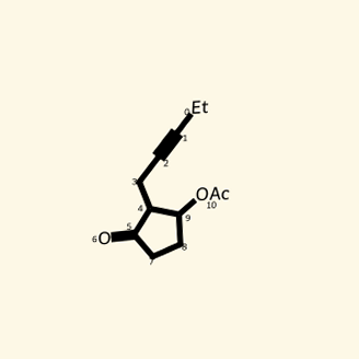 CCC#CCC1C(=O)CCC1OC(C)=O